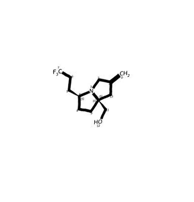 C=C1CN2[C@H](CCC(F)(F)F)CC[C@@]2(CO)C1